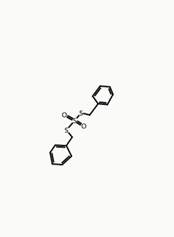 O=S(=O)(SCc1ccccc1)SCc1ccccc1